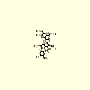 CN[C@@H]1C(O[C@H]2OC(CO)[C@@H](NC(CN)CN)C(O)C2O)O[C@H]2CC(N)[C@@H](O[C@H]3CC(O)=C(N)CC3N)OC2C1O